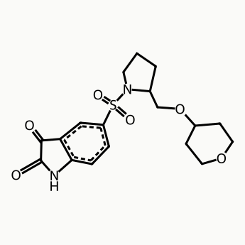 O=C1Nc2ccc(S(=O)(=O)N3CCCC3COC3CCOCC3)cc2C1=O